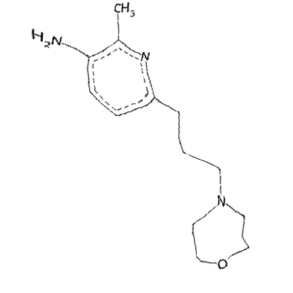 Cc1nc(CCCN2CCOCC2)ccc1N